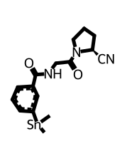 [CH3][Sn]([CH3])([CH3])[c]1cccc(C(=O)NCC(=O)N2CCC[C@H]2C#N)c1